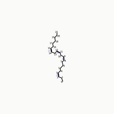 CC/C=C\CCCC/C=C\C/C=C\C/C=C\CCCCCC